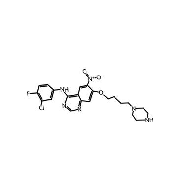 O=[N+]([O-])c1cc2c(Nc3ccc(F)c(Cl)c3)ncnc2cc1OCCCCN1CCNCC1